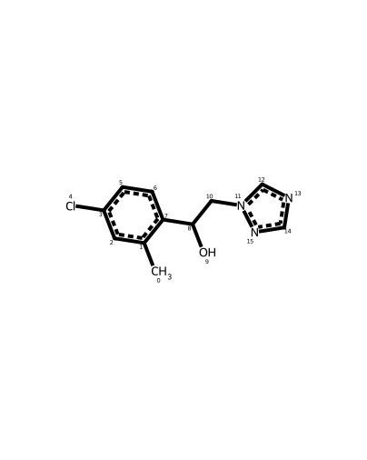 Cc1cc(Cl)ccc1C(O)Cn1cncn1